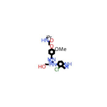 COc1cc(-c2nc(Nc3ccc4[nH]ncc4c3Cl)n(CCO)n2)ccc1OCC(=O)NC(C)C